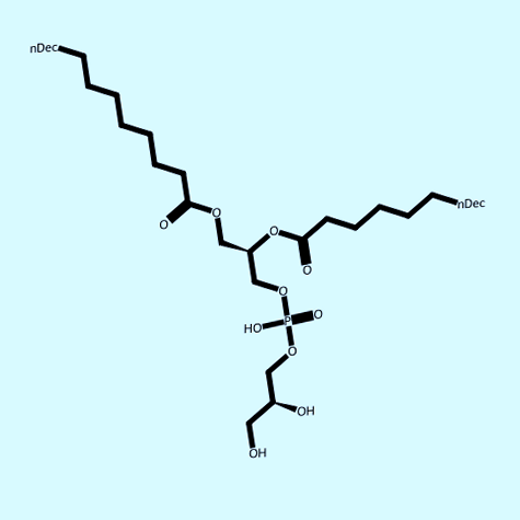 CCCCCCCCCCCCCCCCCC(=O)OC[C@H](COP(=O)(O)OC[C@@H](O)CO)OC(=O)CCCCCCCCCCCCCCC